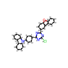 Clc1nc(-c2ccc(-n3c4ccccc4c4ccccc43)cc2)nc(-c2ccc3oc4ccccc4c3c2)n1